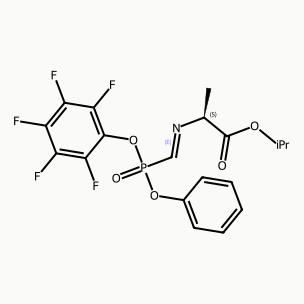 CC(C)OC(=O)[C@H](C)/N=C/P(=O)(Oc1ccccc1)Oc1c(F)c(F)c(F)c(F)c1F